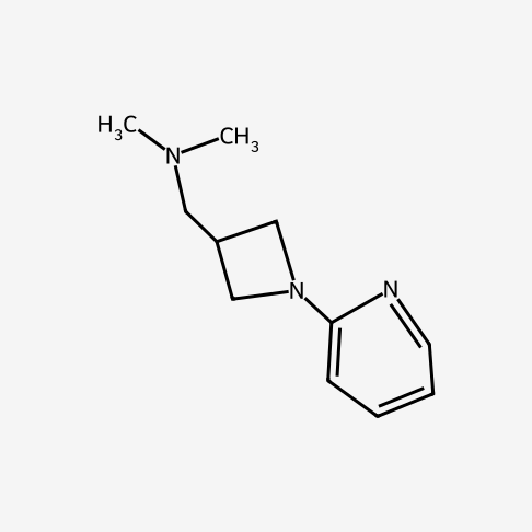 CN(C)CC1CN(c2ccccn2)C1